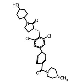 CN1CCN(C(=O)C2=CCC(c3cc(Cl)c(C[C@@H]4CCN(C5CCC(O)CC5)C4=O)c(Cl)c3)C=C2)CC1